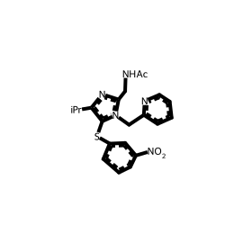 CC(=O)NCc1nc(C(C)C)c(Sc2cccc([N+](=O)[O-])c2)n1Cc1ccccn1